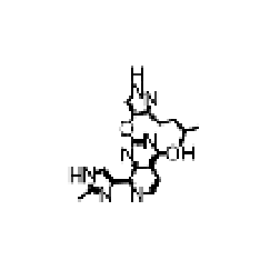 Cc1nc(-c2nccc3c(O)nc(Oc4c[nH]nc4CCC(C)C)nc23)c[nH]1